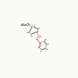 COc1ccc(O[CH]c2ccccc2)cc1